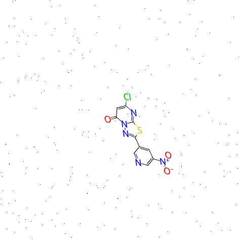 O=c1cc(Cl)nc2sc(-c3cncc([N+](=O)[O-])c3)nn12